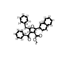 COC(=O)c1c(-c2ccc3ccccc3c2)oc(Cc2ccccc2)c1C(=O)c1ccccc1